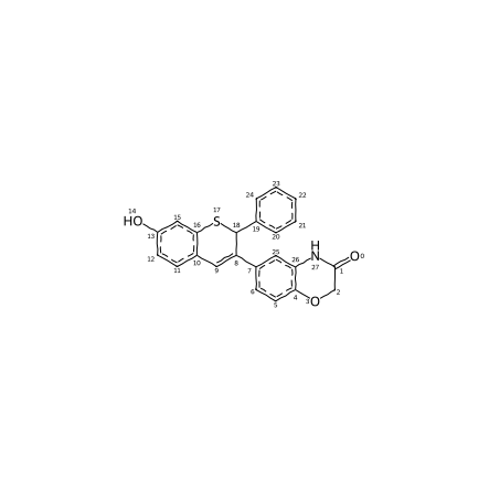 O=C1COc2ccc(C3=Cc4ccc(O)cc4SC3c3ccccc3)cc2N1